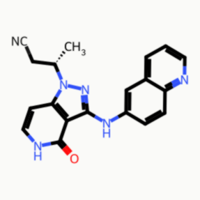 C[C@@H](CC#N)n1nc(Nc2ccc3ncccc3c2)c2c(=O)[nH]ccc21